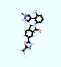 Cn1cc(-c2c(Cl)cccc2N2Cc3ccc(-c4nnc(C(F)F)o4)cc3C2=O)cn1